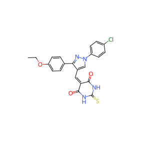 CCOc1ccc(-c2nn(-c3ccc(Cl)cc3)cc2C=C2C(=O)NC(=S)NC2=O)cc1